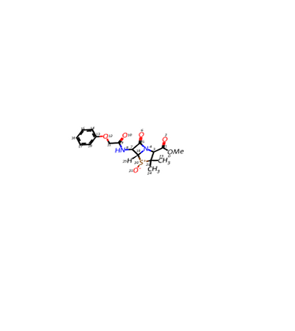 COC(=O)C1N2C(=O)C(NC(=O)COc3ccccc3)[C@H]2[S+]([O-])C1(C)C